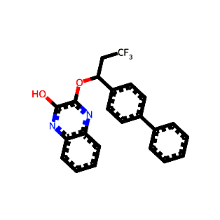 Oc1nc2ccccc2nc1OC(CC(F)(F)F)c1ccc(-c2ccccc2)cc1